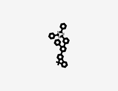 CC1(C)c2ccccc2-c2cc(-c3ccc(-c4cccc(-c5nc(-c6ccccc6)nc(-c6ccccc6)n5)c4)c(-c4ccccc4)c3)ccc21